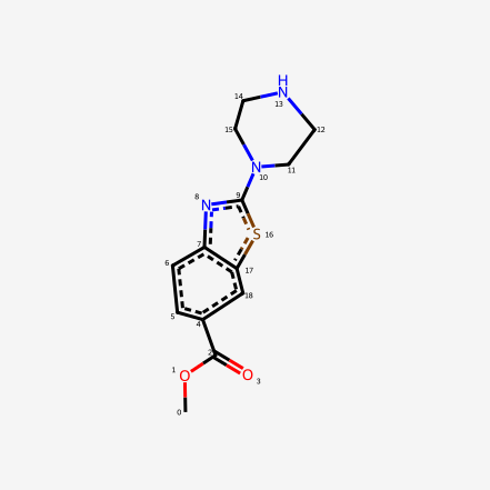 COC(=O)c1ccc2nc(N3CCNCC3)sc2c1